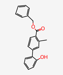 Cc1cc(-c2ccccc2O)ccc1C(=O)OCc1ccccc1